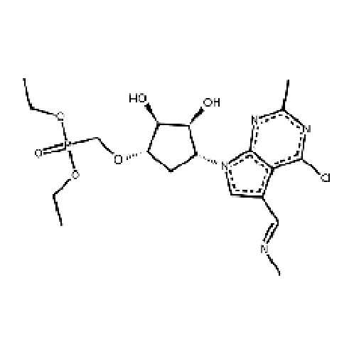 CCOP(=O)(CO[C@H]1C[C@@H](n2cc(/C=N/C)c3c(Cl)nc(C)nc32)[C@H](O)[C@@H]1O)OCC